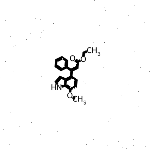 CCOC(=O)C=C(c1ccccc1)c1ccc(OC)c2[nH]ccc12